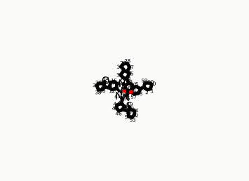 c1ccc(-c2ccc(-c3nc(-c4cc5c(cc4-n4c6ccccc6c6cc7ccccc7cc64)oc4ccccc45)nc(-c4cccc5c4sc4ccccc45)n3)cc2)cc1